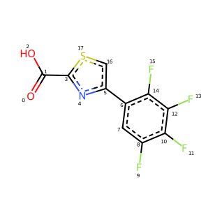 O=C(O)c1nc(-c2cc(F)c(F)c(F)c2F)cs1